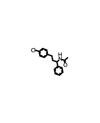 CC(=O)NC(CCc1ccc(Cl)cc1)c1ccccc1